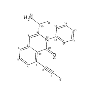 CC#Cc1cccc2cc(C(C)N)n(-c3ccccc3)c(=O)c12